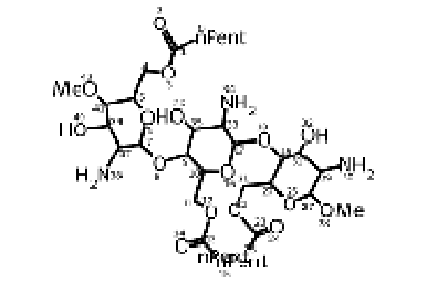 CCCCCC(=O)OCC1OC(OC2C(COC(=O)CCCCC)OC(OC3C(COC(=O)CCCCC)OC(OC)C(N)C3O)C(N)C2O)C(N)C(O)C1OC